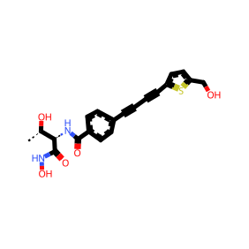 C[C@H](O)[C@H](NC(=O)c1ccc(C#CC#Cc2ccc(CO)s2)cc1)C(=O)NO